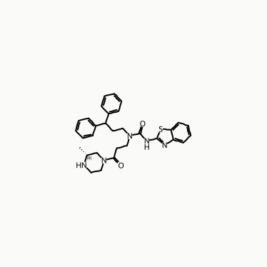 C[C@@H]1CN(C(=O)CCN(CCC(c2ccccc2)c2ccccc2)C(=O)Nc2nc3ccccc3s2)CCN1